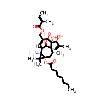 C/C=C(\C)C(=O)OCC1=C[C@@H]2C(=O)[C@]3(C=C(C)[C@H](O)[C@@]3(O)[C@@H]1O)[C@H](C)C[C@@]1(OC(=O)CCCCCCC)C(C)(C)[C@@]21N